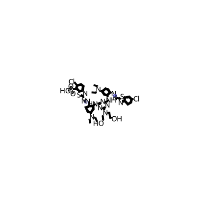 CCN(CC)c1ccc(/N=N/c2nc3ccc(Cl)cc3s2)c(Nc2nc(Nc3cc(N(CC)CC)ccc3/N=N/c3nc4ccc(Cl)c(S(=O)(=O)O)c4s3)nc(N(CCO)CCO)n2)c1